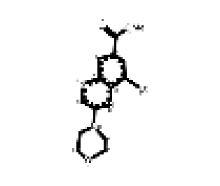 CCc1cc(C(=O)OC)cc2ncc(N3CCOCC3)nc12